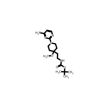 COC1(CCNC(=O)OC(C)(C)C)CCN(c2nccc(N)n2)CC1